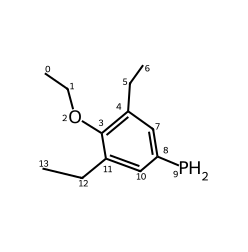 CCOc1c(CC)cc(P)cc1CC